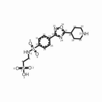 O=S(=O)(O)CCNS(=O)(=O)c1ccc(-c2noc(C3CCNCC3)n2)cc1